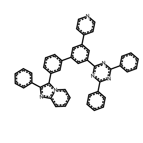 c1ccc(-c2nc(-c3ccccc3)nc(-c3cc(-c4ccncc4)cc(-c4cccc(-c5c(-c6ccccc6)nc6ccccn56)c4)c3)n2)cc1